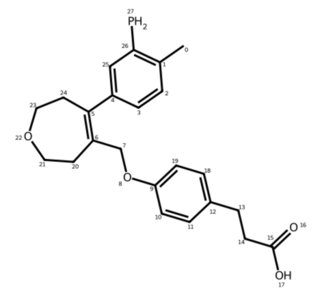 Cc1ccc(C2=C(COc3ccc(CCC(=O)O)cc3)CCOCC2)cc1P